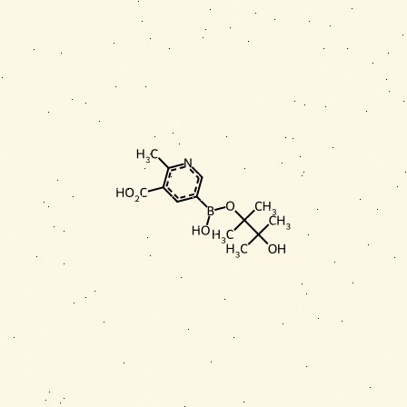 Cc1ncc(B(O)OC(C)(C)C(C)(C)O)cc1C(=O)O